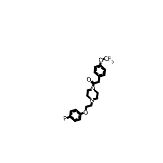 O=C(Cc1ccc(OC(F)(F)F)cc1)N1CCN(CCOc2ccc(F)cc2)CC1